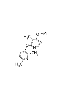 Cc1ccc(Oc2ncnc(OC(C)C)c2C)c(C)n1